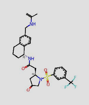 C=C(C)NCc1ccc2c(c1)CCC[C@H]2NC(=O)C[C@@H]1CC(=O)CN1S(=O)(=O)c1cccc(C(F)(F)F)c1